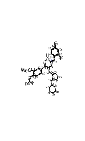 COc1cc(C(=O)N(C/C(C)=C/c2ccc(F)cc2F)CC2CCCN2CC2CCCCC2)ccc1OC(F)F